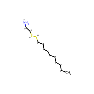 CCCCCCCCCCSSCCN